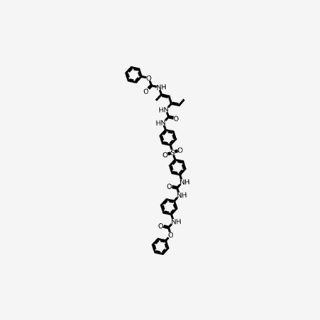 C/C=C(\C=C(/C)NC(=O)Oc1ccccc1)NC(=O)Nc1ccc(S(=O)(=O)c2ccc(NC(=O)Nc3cccc(NC(=O)Oc4ccccc4)c3)cc2)cc1